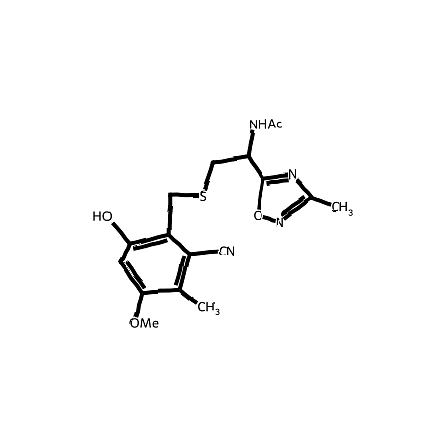 COc1cc(O)c(CSCC(NC(C)=O)c2nc(C)no2)c(C#N)c1C